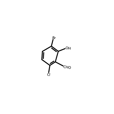 O=Cc1c(Cl)ccc(Br)c1O